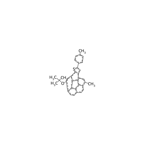 Cc1ccc(-c2cc3c4cc(C)c5ccc6ccc7c(OC(C)(C)C)cc(c3s2)c2c7c6c5c42)cc1